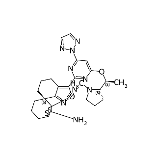 C[C@H](Oc1cc(-n2nccn2)nc(-c2onc3c2CCC[C@@]32CCCc3sc(N)c(C#N)c32)n1)[C@@H]1CCCN1C